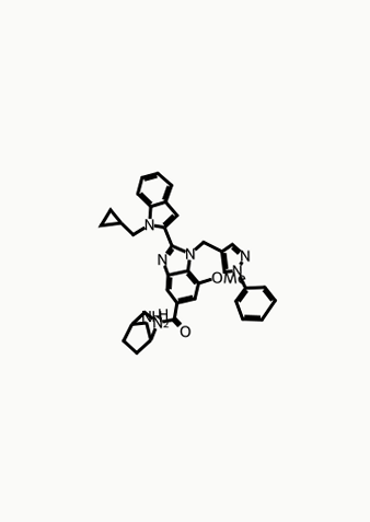 COc1cc(C(=O)N2CC3CCC2[C@@H]3N)cc2nc(-c3cc4ccccc4n3CC3CC3)n(Cc3cnn(-c4ccccc4)c3)c12